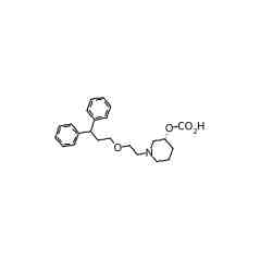 O=C(O)O[C@@H]1CCCN(CCOCCC(c2ccccc2)c2ccccc2)C1